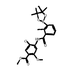 COC(=O)c1cc(Cl)c(NC(=O)c2cccc(B3OC(C)(C)C(C)(C)O3)c2C)cc1OC